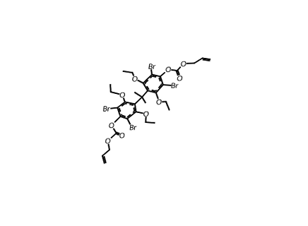 C=CCOC(=O)Oc1c(Br)c(OCC)c(C(C)(C)c2c(OCC)c(Br)c(OC(=O)OCC=C)c(Br)c2OCC)c(OCC)c1Br